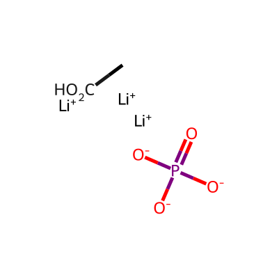 CC(=O)O.O=P([O-])([O-])[O-].[Li+].[Li+].[Li+]